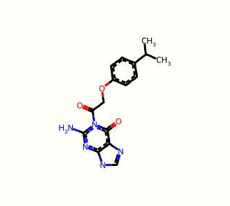 CC(C)c1ccc(OCC(=O)n2c(N)nc3c(c2=O)N=C[N]3)cc1